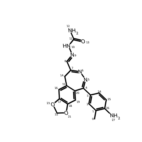 Cc1cc(C2=NN=C(C=NNC(N)=O)Cc3cc4c(cc32)OCO4)ccc1N